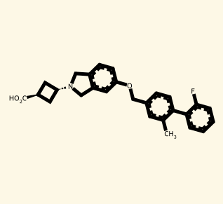 Cc1cc(COc2ccc3c(c2)CN([C@H]2C[C@H](C(=O)O)C2)C3)ccc1-c1ccccc1F